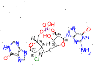 Nc1nc2c(ncn2[C@@H]2OC3CC[C@H]4[C@H](Cl)[C@H](n5cnc6c(=O)[nH]cnc65)O[C@@H]4COP(=O)(O)O[C@@H]2[C@@H]3O)c(=O)[nH]1